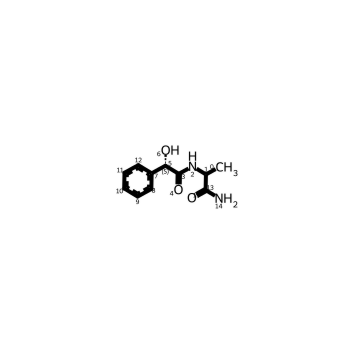 CC(NC(=O)[C@@H](O)c1ccccc1)C(N)=O